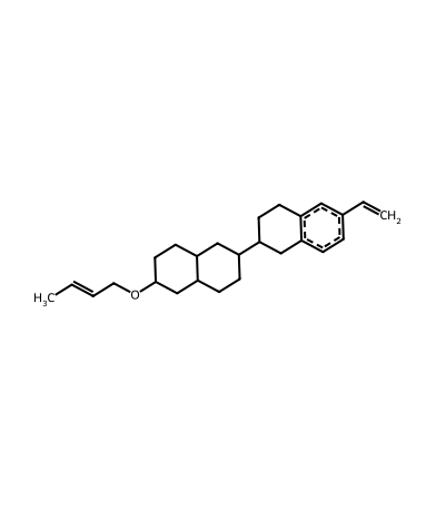 C=Cc1ccc2c(c1)CCC(C1CCC3CC(OCC=CC)CCC3C1)C2